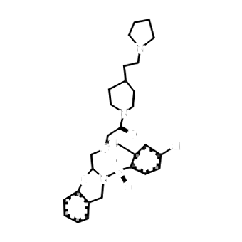 O=C(COCC1Cc2ccccc2CN1S(=O)(=O)c1ccc(Cl)cc1Cl)N1CCC(CCN2CCCC2)CC1